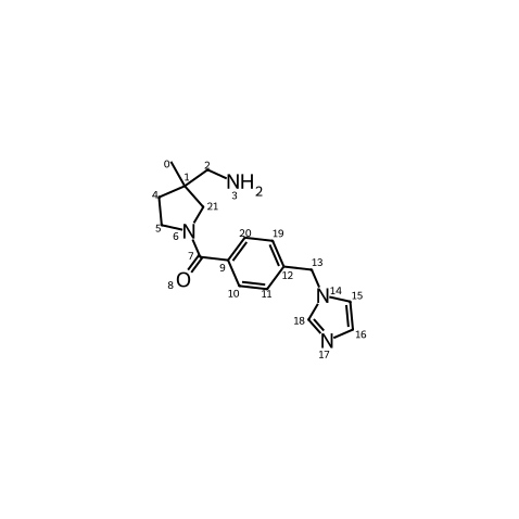 CC1(CN)CCN(C(=O)c2ccc(Cn3ccnc3)cc2)C1